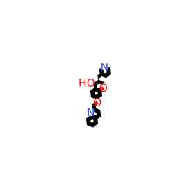 O[C@@H]1c2ccc(OCc3ccc4ccccc4n3)cc2OC[C@H]1Cc1cccnc1